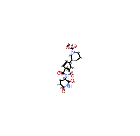 CC(C)(C)OC(=O)N1CCCC(c2ccc3c(c2)C(=O)N(C2CCC(=O)NC2=O)C3=O)C1